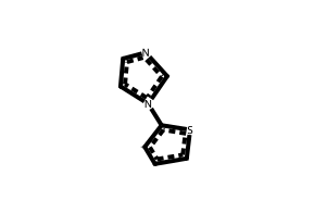 [c]1ccsc1-n1ccnc1